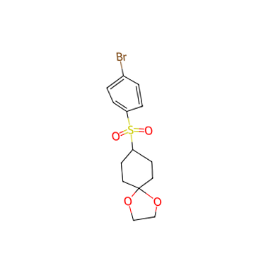 O=S(=O)(c1ccc(Br)cc1)C1CCC2(CC1)OCCO2